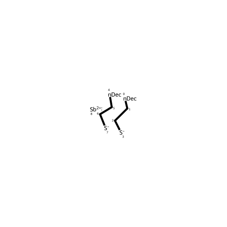 CCCCCCCCCCCC[S-].CCCCCCCCCCCC[S-].[Sb+2]